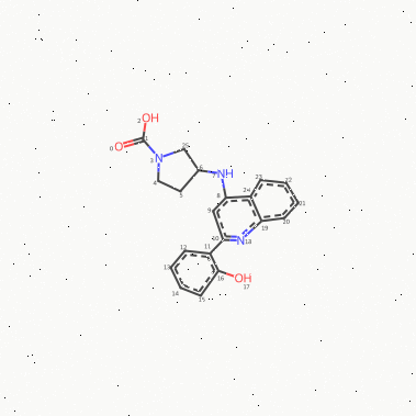 O=C(O)N1CCC(Nc2cc(-c3ccccc3O)nc3ccccc23)C1